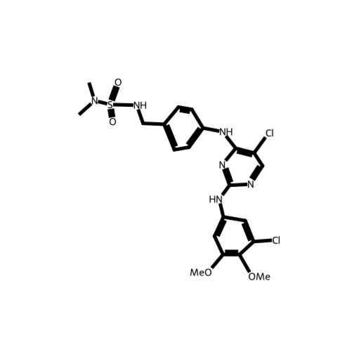 COc1cc(Nc2ncc(Cl)c(Nc3ccc(CNS(=O)(=O)N(C)C)cc3)n2)cc(Cl)c1OC